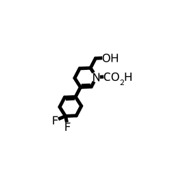 O=C(O)N1C=C(C2=CCC(F)(F)CC2)CCC1CO